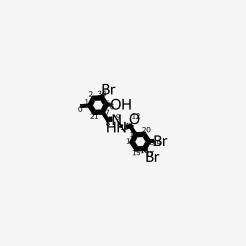 Cc1cc(Br)c(O)c(/C=N/NC(=O)c2ccc(Br)c(Br)c2)c1